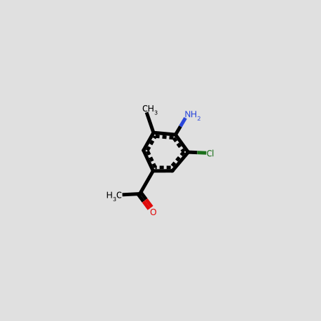 CC(=O)c1cc(C)c(N)c(Cl)c1